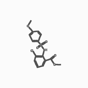 COC(=O)c1cccc(Cl)c1NS(=O)(=O)c1ccc(OC)cc1